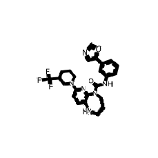 O=C(Nc1cccc(-c2cnco2)c1)N1CCCNc2ccc(N3CCCC(C(F)(F)F)C3)nc21